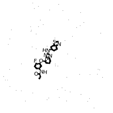 C=CC(=O)Nc1ccc(F)c(Oc2cccc3nc(Nc4ccc5ncsc5c4)nn23)c1